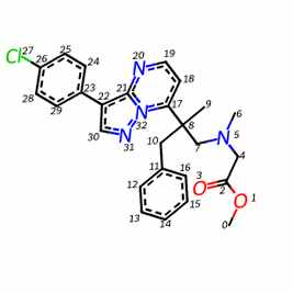 COC(=O)CN(C)CC(C)(Cc1ccccc1)c1ccnc2c(-c3ccc(Cl)cc3)cnn12